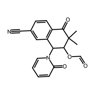 CC1(C)C(=O)c2ccc(C#N)cc2C(n2ccccc2=O)C1OC=O